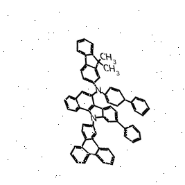 CC1(C)c2ccccc2-c2ccc(N(C3=CCC(c4ccccc4)C=C3)c3cc4ccccc4c4c3c3ccc(-c5ccccc5)cc3n4-c3ccc4c5ccccc5c5ccccc5c4c3)cc21